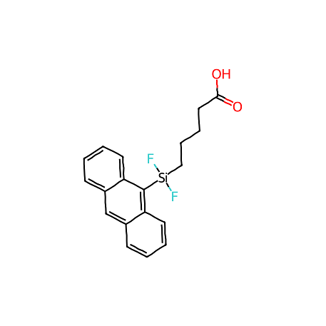 O=C(O)CCCC[Si](F)(F)c1c2ccccc2cc2ccccc12